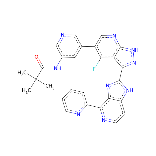 CC(C)(C)C(=O)Nc1cncc(-c2cnc3[nH]nc(-c4nc5c(-c6ccccn6)nccc5[nH]4)c3c2F)c1